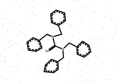 [Se]=C(N(Cc1ccccc1)Cc1ccccc1)N(Cc1ccccc1)Cc1ccccc1